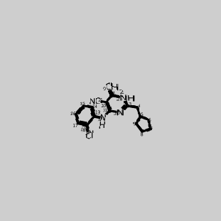 C=C1NC(CC2CCCC2)=NC(Nc2ccccc2Cl)=C1C#N